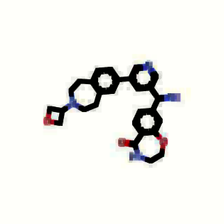 N=C(c1cncc(-c2ccc3c(c2)CCN(C2COC2)CC3)c1)c1ccc2c(c1)OCCNC2=O